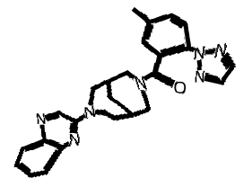 Cc1ccc(-n2nccn2)c(C(=O)N2CC3CC(C2)CN(c2cnc4ccccc4n2)C3)c1